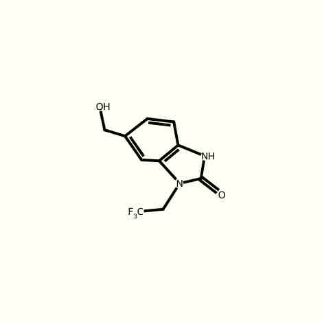 O=c1[nH]c2ccc(CO)cc2n1CC(F)(F)F